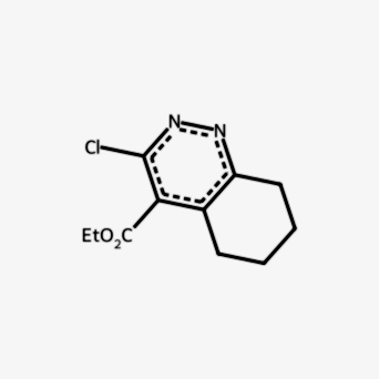 CCOC(=O)c1c(Cl)nnc2c1CCCC2